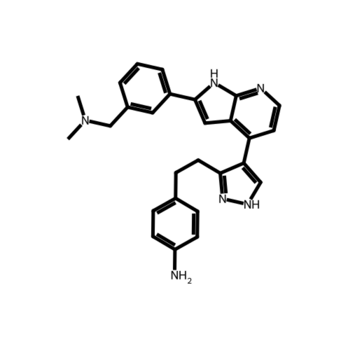 CN(C)Cc1cccc(-c2cc3c(-c4c[nH]nc4CCc4ccc(N)cc4)ccnc3[nH]2)c1